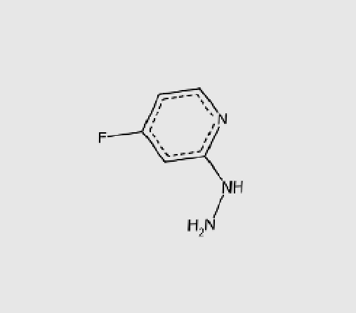 NNc1cc(F)ccn1